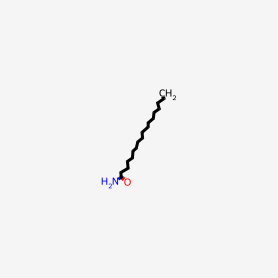 C=CCCCCCCCCCCCCCCCC(N)=O